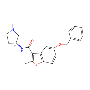 Cc1oc2ccc(OCc3ccccc3)cc2c1C(=O)N[C@H]1CCN(C)C1